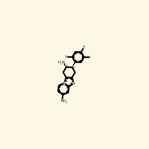 Nc1ccn2c3c(nc2c1)C[C@H](c1cc(F)c(F)cc1F)[C@H](N)C3